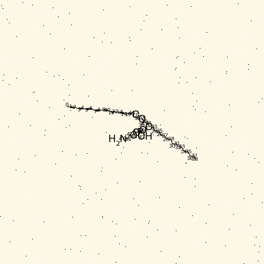 CC#CC#CC#CC#CC#CC#CC#CC#COCOC(COC=CCCCCCCCCCCCCCC)COP(O)OOCCN